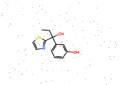 CCC(O)(c1cccc(O)c1)c1nccs1